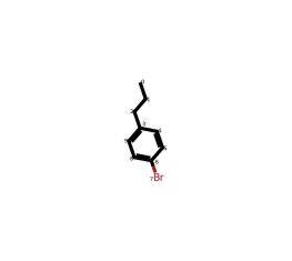 [CH2]CCc1ccc(Br)cc1